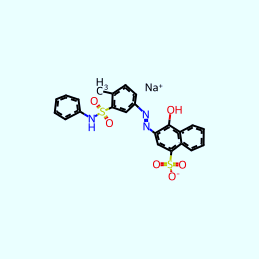 Cc1ccc(N=Nc2cc(S(=O)(=O)[O-])c3ccccc3c2O)cc1S(=O)(=O)Nc1ccccc1.[Na+]